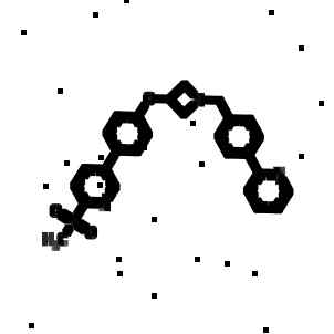 CS(=O)(=O)c1ccc(-c2ccc(OC3CN(Cc4ccc(-c5ccccn5)cc4)C3)cc2)cn1